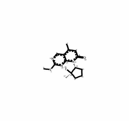 CSc1ncc2c(C)cc(=O)n([C@@H]3CCC[C@@]3(C)F)c2n1